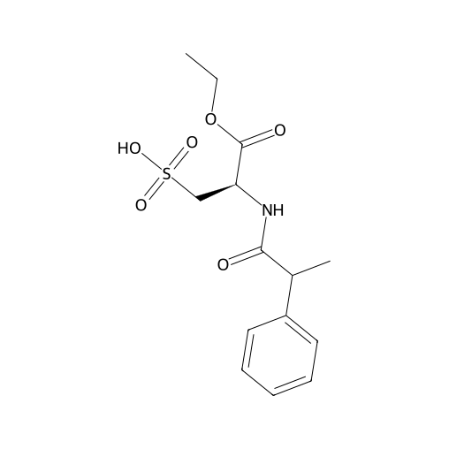 CCOC(=O)[C@H](CS(=O)(=O)O)NC(=O)C(C)c1ccccc1